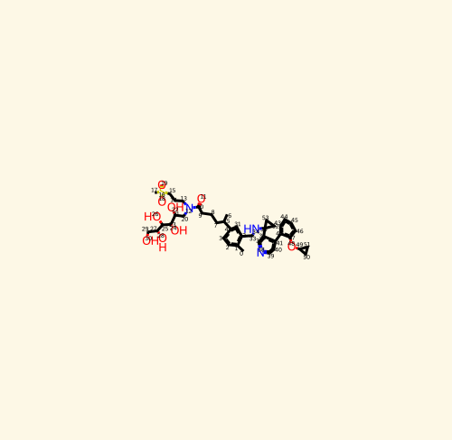 Cc1ccc(C(C)CCCC(=O)N(CCCS(C)(=O)=O)CC(O)C(O)C(O)C(O)CO)cc1CNC1(c2cnccc2-c2ccccc2OC2CC2)CC1